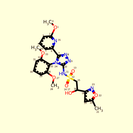 COc1cccc(-c2nnc(NS(=O)(=O)CC(O)c3cc(C)on3)n2-c2c(OC)cccc2OC)n1